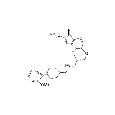 COc1ccccc1N1CCC(CNCC2COc3ccc4[nH]c(C(=O)O)cc4c3O2)CC1